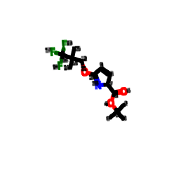 CC(C)(C)OC(=O)C1C=CC(OCC(C)(C)C(F)(F)F)=N1